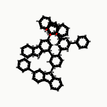 c1ccc(-c2ccc3c4ccccc4n(-c4ccc(-c5nc(-c6ccccc6)nc(-c6ccccc6)n5)c(-c5cc(-n6c7ccccc7c7ccccc76)cc6c5oc5ccccc56)c4)c3c2)cc1